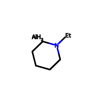 CCN1CCCCC1.[AlH3]